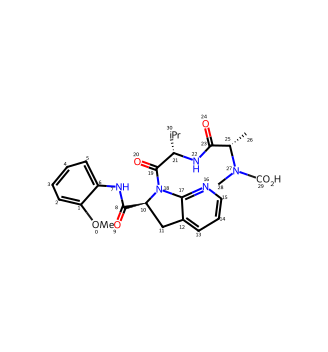 COc1ccccc1NC(=O)[C@@H]1Cc2cccnc2N1C(=O)[C@@H](NC(=O)[C@H](C)N(C)C(=O)O)C(C)C